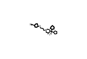 N#Cc1ccc(OCCCN2CCC(C(N)(c3ccccc3)C3CCCC3)CC2)cc1